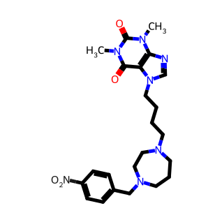 Cn1c(=O)c2c(ncn2CCCCN2CCCN(Cc3ccc([N+](=O)[O-])cc3)CC2)n(C)c1=O